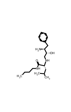 [CH2]CCCNC(=O)[C@@H](CC(C)C)NC[C@@H](O)[C@@H](N)Cc1ccccc1